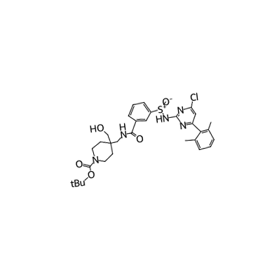 Cc1cccc(C)c1-c1cc(Cl)nc(N[S+]([O-])c2cccc(C(=O)NCC3(CO)CCN(C(=O)OC(C)(C)C)CC3)c2)n1